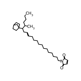 CCCCC(C)C(CC=CCCCCCCCCCCCCN1C(=O)C=CC1=O)C12CCC(CC1)C2